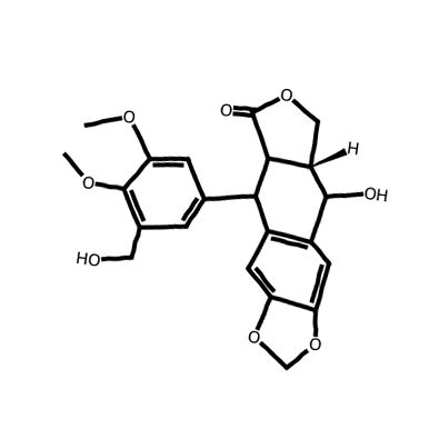 COc1cc(C2c3cc4c(cc3C(O)[C@H]3COC(=O)C23)OCO4)cc(CO)c1OC